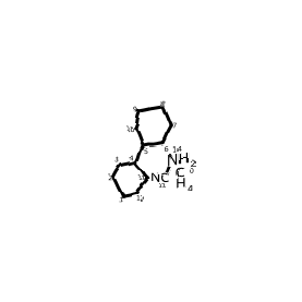 C.C1CCC(C2CCCCC2)CC1.N#CN